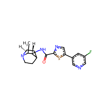 C[C@H]1[C@H](NC(=O)c2ncc(-c3cncc(F)c3)s2)C2CCN1CC2